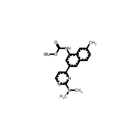 Cc1ccc2cc(-c3ccnc(N(C)C)n3)cc(NC(=O)OC(C)(C)C)c2c1